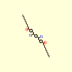 CCCCCCCCCCCC(=O)c1ccc(C=C(C#N)c2ccc(C(C#N)=Cc3ccc(C(=O)CCCCCCCCCCC)cc3)cc2)cc1